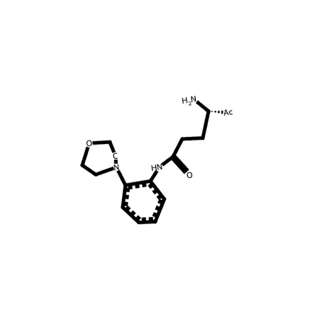 CC(=O)[C@@H](N)CCC(=O)Nc1ccccc1N1CCOCC1